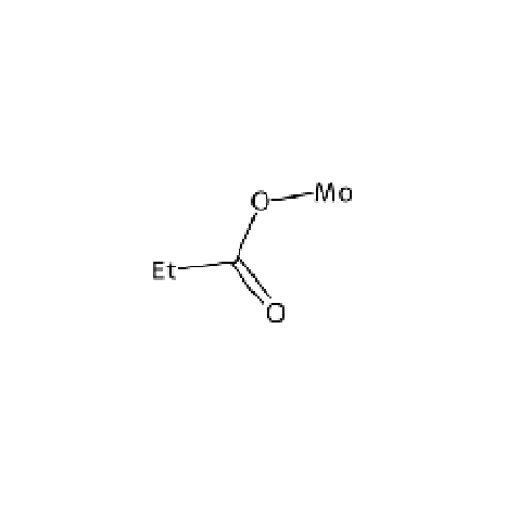 CCC(=O)[O][Mo]